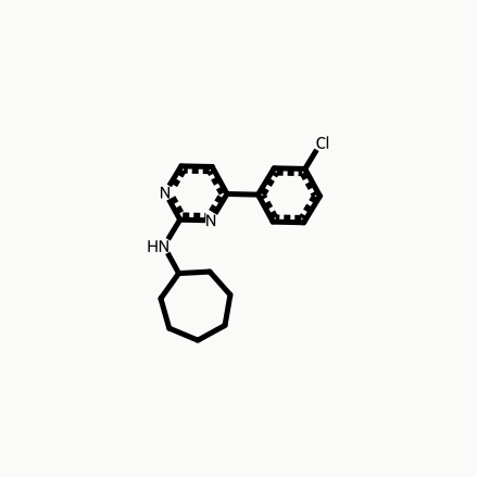 Clc1cccc(-c2ccnc(NC3CCCCCC3)n2)c1